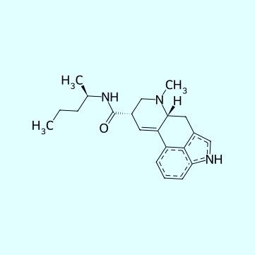 CCC[C@@H](C)NC(=O)[C@H]1C=C2c3cccc4[nH]cc(c34)C[C@H]2N(C)C1